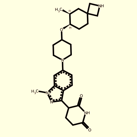 C[C@H]1CC2(CC[C@H]1OC1CCN(c3ccc4c(C5CCC(=O)NC5=O)nn(C)c4c3)CC1)CNC2